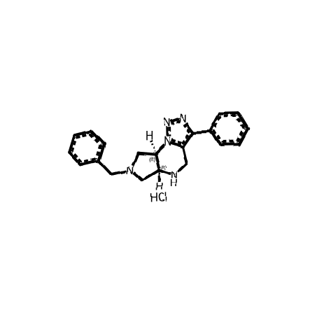 Cl.c1ccc(CN2C[C@@H]3[C@@H](C2)NCc2c(-c4ccccc4)nnn23)cc1